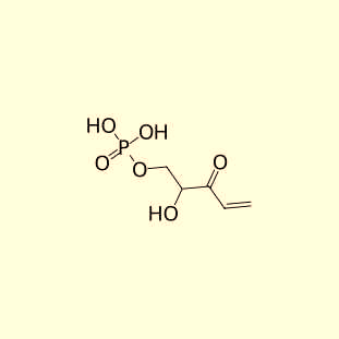 C=CC(=O)C(O)COP(=O)(O)O